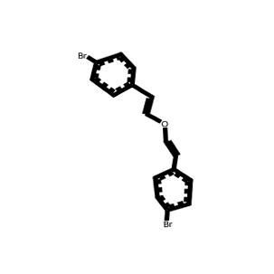 Brc1ccc(C=COC=Cc2ccc(Br)cc2)cc1